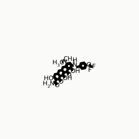 CN(C)c1cc(NCc2ccc(OC(F)F)cc2)c(O)c2c1CC1CC3CC(O)=C(C(N)=O)C(=O)C3C(O)=C1C2=O